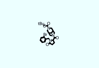 CC(C)(C)OC(=O)N1CC2CC(C1)CN(C(=O)C1CCC(=O)N1Cc1ccccc1Br)C2